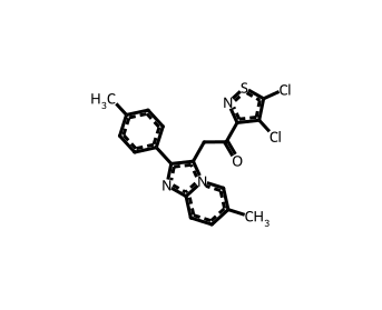 Cc1ccc(-c2nc3ccc(C)cn3c2CC(=O)c2nsc(Cl)c2Cl)cc1